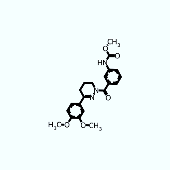 COC(=O)Nc1cccc(C(=O)N2CCCC(c3ccc(OC)c(OC)c3)=N2)c1